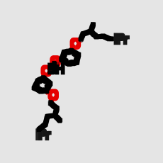 CC(C)CCCC(C)CCOc1cccc(OBOc2cccc(OCCC(C)CCCC(C)C)c2)c1